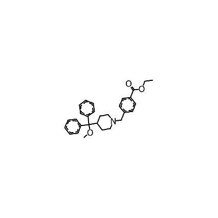 CCOC(=O)c1ccc(CN2CCC(C(OC)(c3ccccc3)c3ccccc3)CC2)cc1